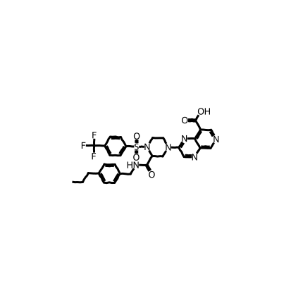 CCCc1ccc(CNC(=O)C2CN(c3cnc4cncc(C(=O)O)c4n3)CCN2S(=O)(=O)c2ccc(C(F)(F)F)cc2)cc1